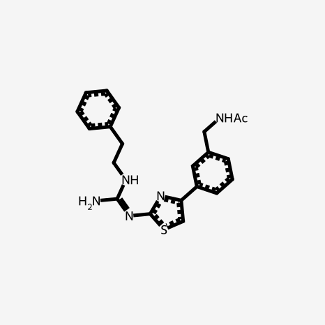 CC(=O)NCc1cccc(-c2csc(N=C(N)NCCc3ccccc3)n2)c1